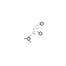 CN(Cc1cc(C(F)(F)F)cc(C(F)(F)F)c1)[C@H]1C[C@@H](C(=O)N2CCN(c3ccccc3F)CC2)N(Cc2ccccc2)C1